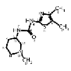 Cc1nc(NC(=O)N[C@@H]2CCCN(C)C2)sc1C